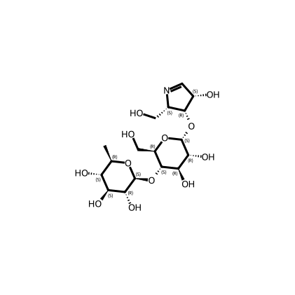 C[C@H]1O[C@@H](O[C@H]2[C@H](O)[C@@H](O)[C@@H](O[C@@H]3[C@H](CO)N=C[C@@H]3O)O[C@@H]2CO)[C@H](O)[C@@H](O)[C@@H]1O